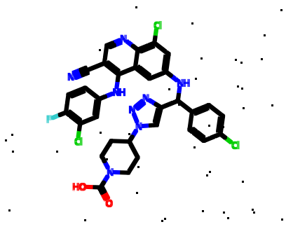 N#Cc1cnc2c(Cl)cc(NC(c3ccc(Cl)cc3)c3cn(C4CCN(C(=O)O)CC4)nn3)cc2c1Nc1ccc(F)c(Cl)c1